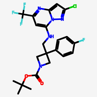 CC(C)(C)OC(=O)N1CC(CNc2cc(C(F)(F)F)nc3cc(Cl)nn23)(c2ccc(F)cc2)C1